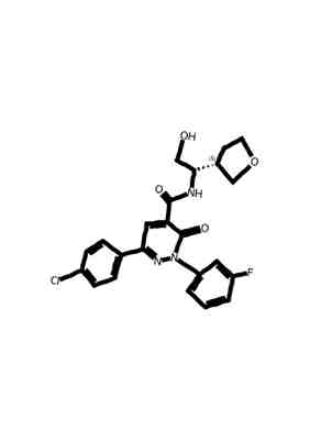 O=C(NC(CO)[C@@H]1CCOC1)c1cc(-c2ccc(Cl)cc2)nn(-c2cccc(F)c2)c1=O